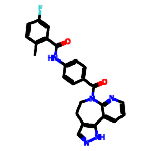 Cc1ccc(F)cc1C(=O)Nc1ccc(C(=O)N2CCc3cn[nH]c3-c3cccnc32)cc1